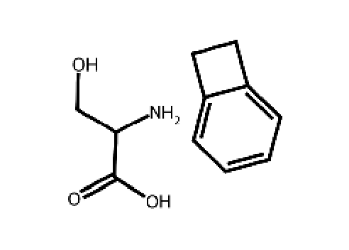 NC(CO)C(=O)O.c1ccc2c(c1)CC2